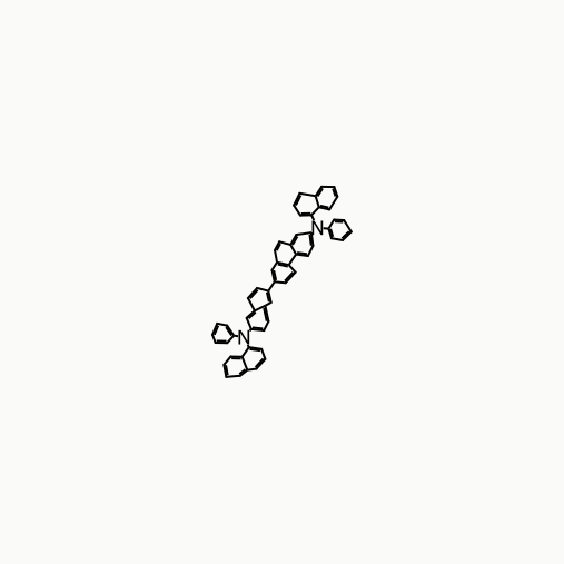 c1ccc(N(c2ccc3cc(-c4ccc5c(ccc6cc(N(c7ccccc7)c7cccc8ccccc78)ccc65)c4)ccc3c2)c2cccc3ccccc23)cc1